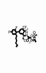 C=CCCCCc1cc(F)cc(F)c1-c1cc([C@H](CC(=O)OCC)NC(=O)[C@@H](CC=C)OS(C)(=O)=O)c(F)c(C(F)(F)F)c1